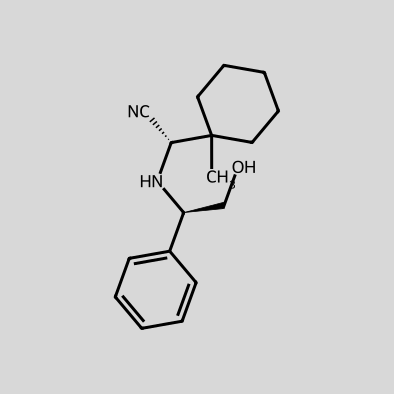 CC1([C@@H](C#N)N[C@@H](CO)c2ccccc2)CCCCC1